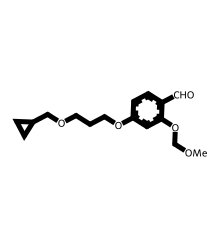 COCOc1cc(OCCCOCC2CC2)ccc1C=O